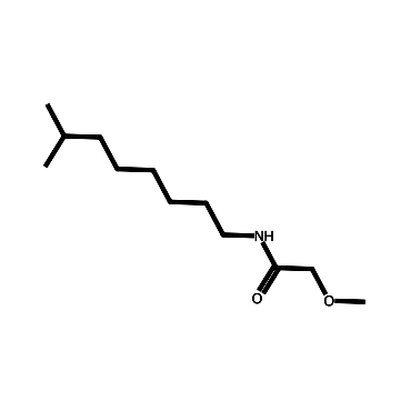 COCC(=O)NCCCCCCC(C)C